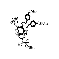 CCN(C(=O)OC(C)(C)C)C1=N[C@@H]2[C@@H](OCc3ccc(OC)cc3)[C@H](OCc3ccc(OC)cc3)[C@@H](COS(C)(=O)=O)O[C@@H]2S1